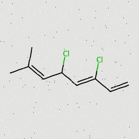 C=CC(Cl)=CC(Cl)C=C(C)C